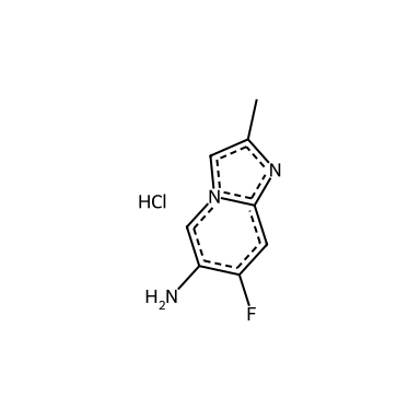 Cc1cn2cc(N)c(F)cc2n1.Cl